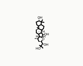 C[C@@H]1C[C@H]([C@H](O)C(C)(C)O)O[C@H]2[C@@H]1[C@@]1(C)CC[C@@]34C[C@@]35CC[C@H](O)C(C)(C)C5CC[C@H]4C1[C@H]2O